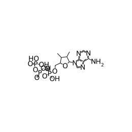 CC1C(COP(=O)(O)OP(=O)(O)OP(=O)(O)O)OC(n2cnc3c(N)ncnc32)C1C